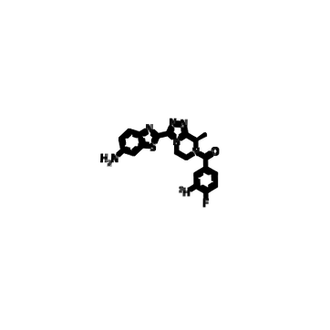 [2H]c1cc(C(=O)N2CCn3c(-c4nc5ccc(N)cc5s4)nnc3[C@H]2C)ccc1F